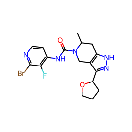 CC1Cc2[nH]nc(C3CCCO3)c2CN1C(=O)Nc1ccnc(Br)c1F